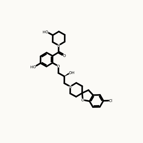 O=C(c1ccc(O)cc1OC[C@@H](O)CN1CCC2(CC1)Cc1cc(Cl)ccc1O2)N1CCCC(O)C1